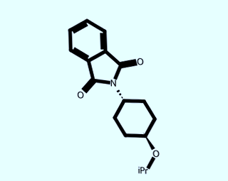 CC(C)O[C@H]1CC[C@H](N2C(=O)c3ccccc3C2=O)CC1